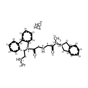 CC(C)NCCN(C(=O)CNCC(=O)N(C)N1Cc2ccccc2C1)c1ccccc1-c1ccccc1.Cl.Cl